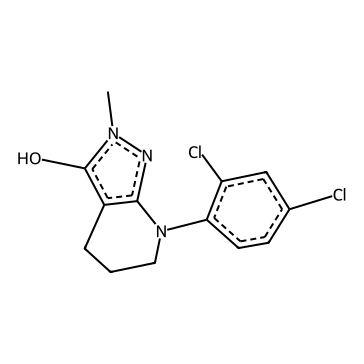 Cn1nc2c(c1O)CCCN2c1ccc(Cl)cc1Cl